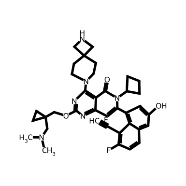 C#Cc1c(F)ccc2cc(O)cc(-c3c(F)c4nc(OCC5(CN(C)C)CC5)nc(N5CCC6(CC5)CNC6)c4c(=O)n3C3CCC3)c12